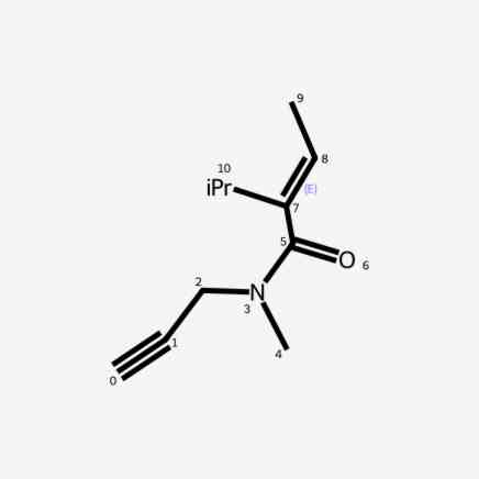 C#CCN(C)C(=O)/C(=C/C)C(C)C